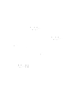 CNC1=C(NC)C(=O)C(NC)O1